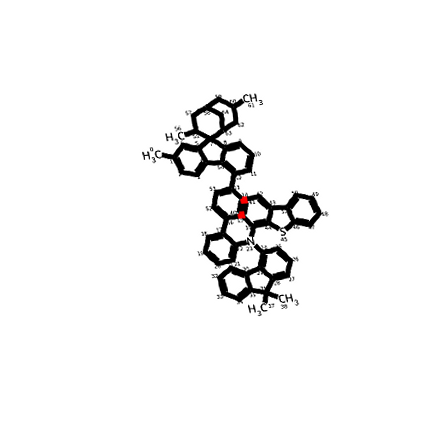 Cc1ccc2c(c1)C1(c3cccc(-c4ccc(-c5ccccc5N(c5cccc6c5-c5ccccc5C6(C)C)c5cccc6c5sc5ccccc56)cc4)c3-2)C(C)CC2CC(C)CC1C2